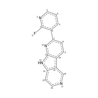 Fc1ncccc1-c1ccc2c(n1)[nH]c1ccncc12